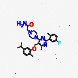 Cc1ccc(C(C)C)cc1OCc1c(C)nc(-c2cc(F)ccc2C)nc1N1CCN(CC(N)=O)CC1